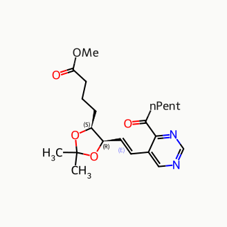 CCCCCC(=O)c1ncncc1/C=C/[C@H]1OC(C)(C)O[C@H]1CCCC(=O)OC